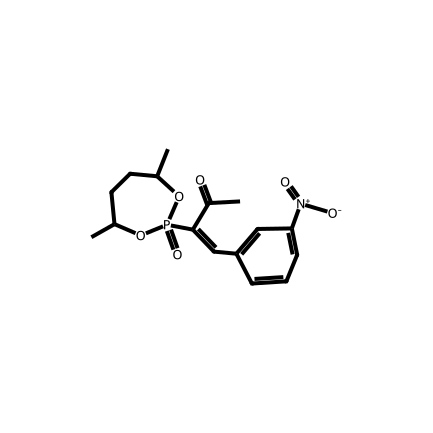 CC(=O)C(=Cc1cccc([N+](=O)[O-])c1)P1(=O)OC(C)CCC(C)O1